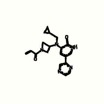 C=CC(=O)N1CC(N(CC2CC2)c2cc(-c3cnccn3)c[nH]c2=O)C1